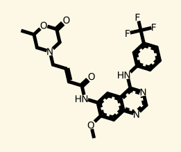 COc1cc2ncnc(Nc3cccc(C(F)(F)F)c3)c2cc1NC(=O)C=CCN1CC(=O)OC(C)C1